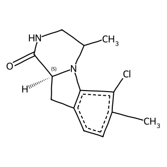 Cc1ccc2c(c1Cl)N1C(C)CNC(=O)[C@@H]1C2